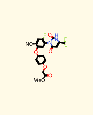 COC(=O)COc1ccc(Oc2cc(-n3c(=O)cc(C(F)F)[nH]c3=O)c(F)cc2C#N)cc1